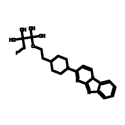 OC(O)(OCCC1CCN(c2ccn3c(n2)nc2ccccc23)CC1)C(O)(O)SF